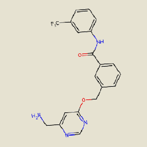 NCc1cc(OCc2cccc(C(=O)Nc3cccc(C(F)(F)F)c3)c2)ncn1